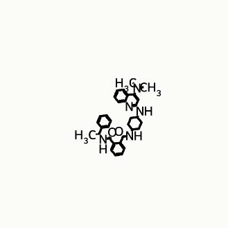 C[C@H](NC(=O)c1ccccc1C(=O)NC1CCC(Nc2cc(N(C)C)c3ccccc3n2)CC1)c1ccccc1